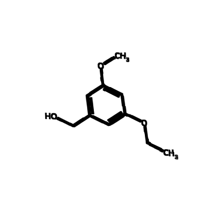 CCOc1cc(CO)cc(OC)c1